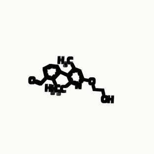 Cc1cc(OCCO)nc(C)c1-c1cccc(C=O)c1C